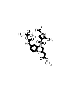 COC(=O)CC1CN(S(=O)(=O)c2cn(C(F)F)nc2C)c2cc(NC(=O)OC(C)(C)C)ccc2O1